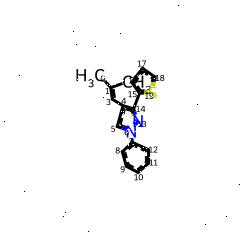 CC(C)=Cc1cn(-c2ccccc2)nc1-c1cccs1